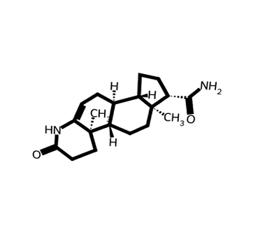 C[C@]12CC[C@H]3[C@@H](CC=C4NC(=O)CC[C@@]43C)[C@@H]1CC[C@@H]2C(N)=O